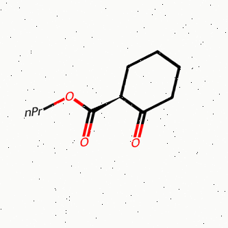 CCCOC(=O)[C@H]1CCCCC1=O